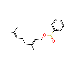 CC(C)=CCC/C(C)=C/COS(=O)c1ccccc1